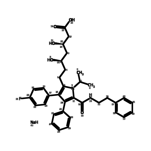 CC(C)n1c(CC[C@@H](O)C[C@@H](O)CC(=O)O)c(-c2ccc(F)cc2)c(-c2ccccc2)c1C(=O)NCCc1ccccc1.[NaH]